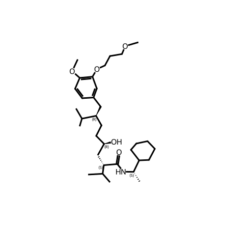 COCCCOc1cc(C[C@@H](CC[C@@H](O)C[C@H](C(=O)N[C@@H](C)C2CCCCC2)C(C)C)C(C)C)ccc1OC